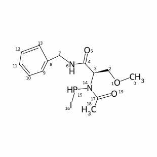 COC[C@H](C(=O)NCc1ccccc1)N(PI)C(C)=O